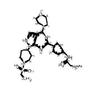 C=CS(=O)(=O)N1CCC(n2ncc3c(N4CCOCC4)nc(-c4ccc(NC(=O)NC)cc4)nc32)CC1